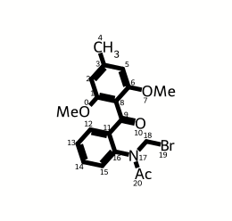 COc1cc(C)cc(OC)c1C(=O)c1ccccc1N(CBr)C(C)=O